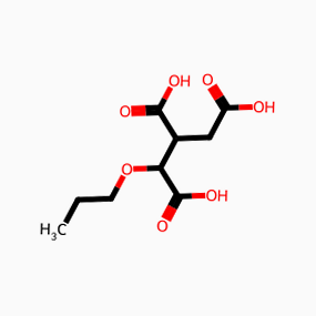 CCCOC(C(=O)O)C(CC(=O)O)C(=O)O